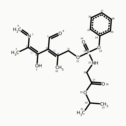 C=N/C(C)=C(O)\C(C=O)=C(/C)COP(=O)(NCC(=O)OC(C)C)Oc1ccccc1